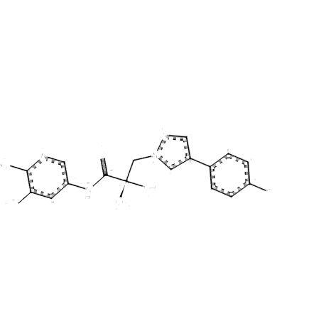 C[C@](O)(Cn1cc(-c2ccc(F)cc2)cn1)C(=O)Nc1cnc(C#N)c(C(F)(F)F)c1